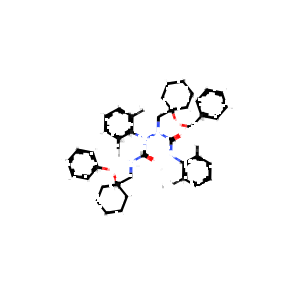 CC(C)c1cccc(C(C)C)c1NC(=O)N(CC1(OCc2ccccc2)CCCCC1)N(C(=O)NCC1(Oc2ccccc2)CCCCC1)c1c(C(C)C)cccc1C(C)C